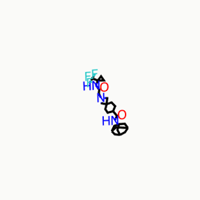 O=C(CN1CC2(CCC(C(=O)NC34CC5CC(CC(C5)C3)C4)CC2)C1)NC1(C(F)(F)F)CC1